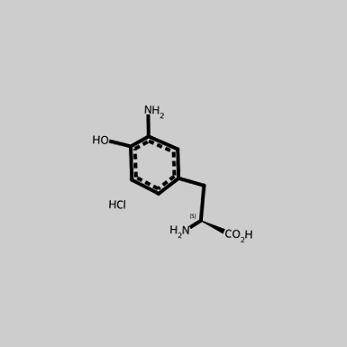 Cl.Nc1cc(C[C@H](N)C(=O)O)ccc1O